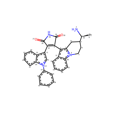 CC(C)[C@H](N)C1CCn2c(c(C3=C(c4cn(-c5ccccc5)c5ccccc45)C(=O)NC3=O)c3ccccc32)C1